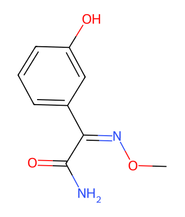 CON=C(C(N)=O)c1cccc(O)c1